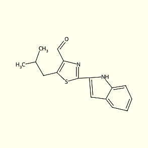 CC(C)Cc1sc(-c2cc3ccccc3[nH]2)nc1C=O